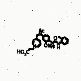 COc1cc(N(CC2=CC=CN(CCC(=O)O)C=C2)C(C)=O)ccc1NC(=O)Nc1ccccc1C